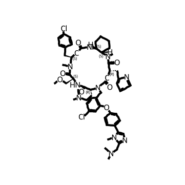 COC[C@@H]1NC(=O)[C@@H](CCN(C)C)N(Cc2ccc(Cl)cc2Oc2ccc(-c3cnc(CN(C)C)n3C)cc2)C(=O)C[C@@H](Cc2ccccn2)C(=O)N(C)[C@H]2CCCC[C@@H]2NC(=O)C[C@H](Cc2ccc(Cl)cc2)N(C)C1=O